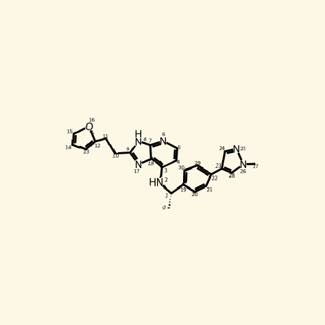 C[C@H](Nc1ccnc2[nH]c(CCc3ccco3)nc12)c1ccc(-c2cnn(C)c2)cc1